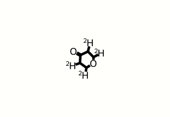 [2H]C1OC([2H])C([2H])C(=O)C1[2H]